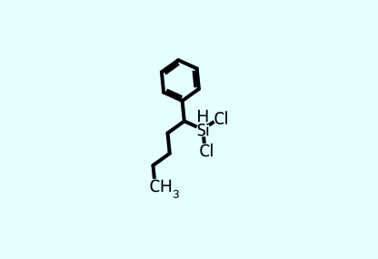 CCCCC(c1ccccc1)[SiH](Cl)Cl